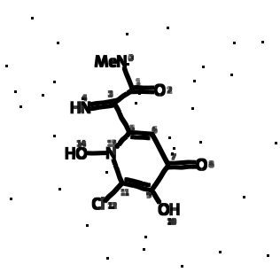 CNC(=O)C(=N)c1cc(=O)c(O)c(Cl)n1O